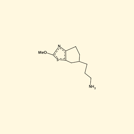 COc1nc2c(s1)CC(CCCN)CC2